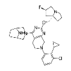 F[C@H]1CN2CCC[C@@]2(COc2nc3c(c(N4CC5CCC(C4)N5)n2)CCN(c2cccc(Cl)c2C2CC2)C3)C1